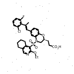 CCOc1ncc2c(c1S(=O)(=O)N1C[C@H](CCC(=O)O)Oc3ccc(/C=C(\C)c4c(F)cccc4Cl)cc31)CCCC2